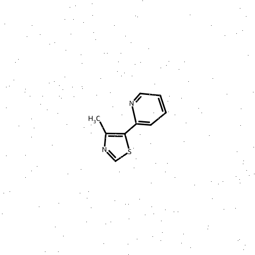 Cc1ncsc1-c1ccccn1